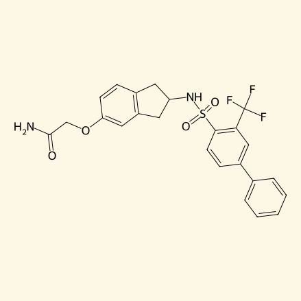 NC(=O)COc1ccc2c(c1)CC(NS(=O)(=O)c1ccc(-c3ccccc3)cc1C(F)(F)F)C2